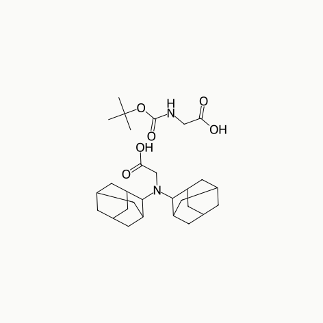 CC(C)(C)OC(=O)NCC(=O)O.O=C(O)CN(C1C2CC3CC(C2)CC1C3)C1C2CC3CC(C2)CC1C3